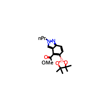 CCCn1cc2c(C(=O)OC)c(B3OC(C)(C)C(C)(C)O3)ccc2n1